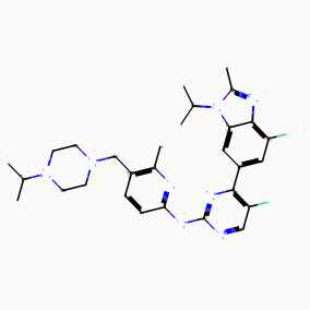 Cc1nc(Nc2ncc(F)c(-c3cc(F)c4nc(C)n(C(C)C)c4c3)n2)ccc1CN1CCN(C(C)C)CC1